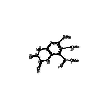 COC(=O)c1c2c(cc(OC)c1OC)NC(=O)C(=O)[N]2